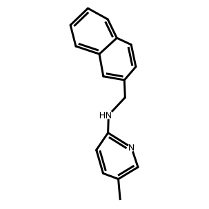 Cc1ccc(NCc2ccc3ccccc3c2)nc1